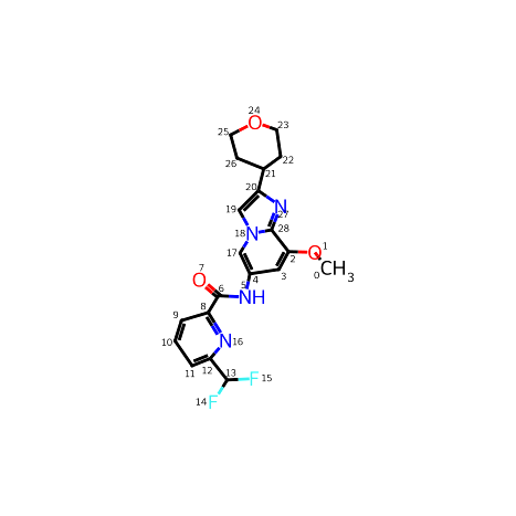 COc1cc(NC(=O)c2cccc(C(F)F)n2)cn2cc(C3CCOCC3)nc12